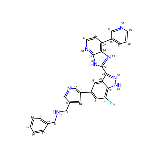 Fc1cc(-c2cncc(CNCc3ccccc3)c2)cc2c(-c3nc4c(-c5cccnc5)ccnc4[nH]3)n[nH]c12